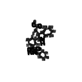 COC(=O)C(C)c1c(-c2cccc(S(=O)(=O)NC3CCCCC3)c2)[nH]c2ccccc12